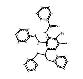 Cc1c(F)cc(N(Cc2ccccc2)Cc2ccccc2)c(OCc2ccccc2)c1OC(=O)c1ccccc1